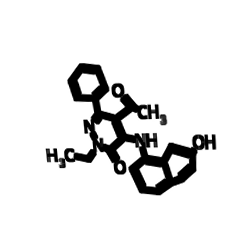 CCn1nc(-c2ccccc2)c(C(C)=O)c(Nc2cccc3ccc(O)cc23)c1=O